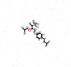 CC(C)CCc1ccc(SSC(OCC(C)C)C(C)[Si](C)(C)C)cc1